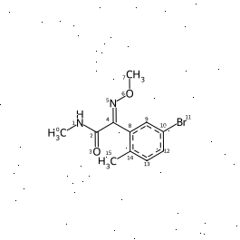 CNC(=O)/C(=N/OC)c1cc(Br)ccc1C